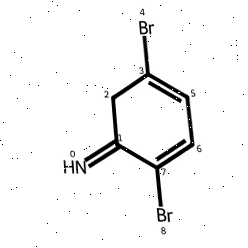 N=C1CC(Br)=CC=C1Br